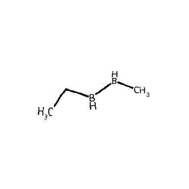 CBBCC